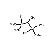 CC[Si](OC)(OC)C(C)[Si](CC)(OC)OC